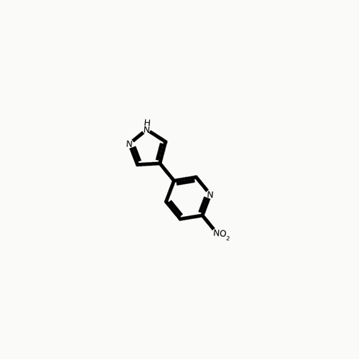 O=[N+]([O-])c1ccc(-c2cn[nH]c2)cn1